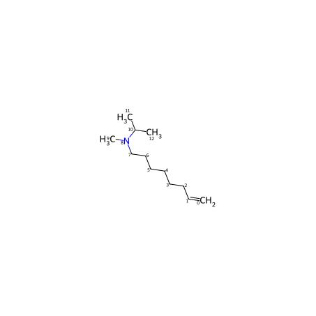 C=CCCCCCCN(C)C(C)C